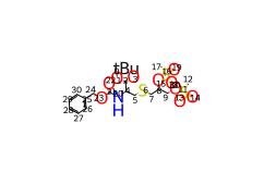 CC(C)(C)OC(=O)C(CSCC(COS(C)(=O)=O)OS(C)(=O)=O)NC(=O)OCc1ccccc1